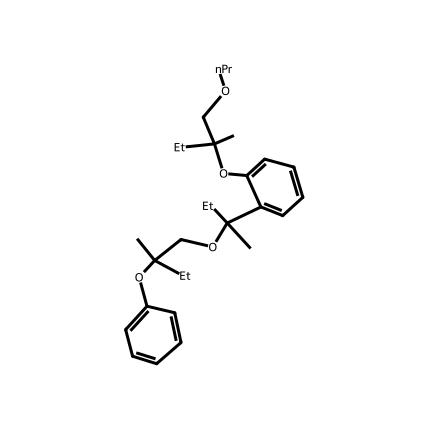 CCCOCC(C)(CC)Oc1ccccc1C(C)(CC)OCC(C)(CC)Oc1ccccc1